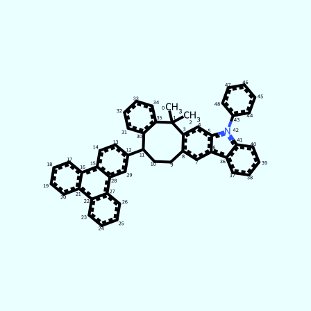 CC1(C)c2cc3c(cc2CCC(c2ccc4c5ccccc5c5ccccc5c4c2)c2ccccc21)c1ccccc1n3-c1ccccc1